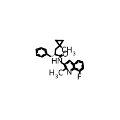 Cc1nc2c(F)cccc2cc1NC(=O)[C@H](Cc1ccccc1)CC1(C)CC1